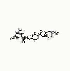 O=C(NCC1CCN(C(=O)CN2CCC(CO)CC2)CC1)c1cc(C(F)(F)F)cc(C(F)(F)F)c1